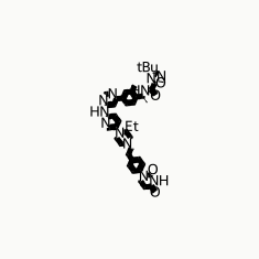 CC[C@@H]1CN(CCc2ccc(N3CCC(=O)NC3=O)cc2)CCN1c1ccc(Nc2cc(-c3ccc([C@@H](C)NC(=O)c4nc(C(C)(C)C)no4)c(C)c3)ncn2)nc1